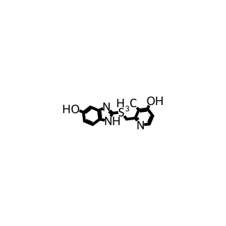 Cc1c(O)ccnc1CSc1nc2cc(O)ccc2[nH]1